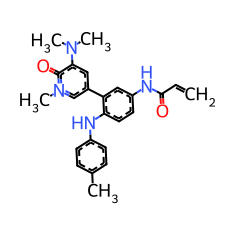 C=CC(=O)Nc1ccc(Nc2ccc(C)cc2)c(-c2cc(N(C)C)c(=O)n(C)c2)c1